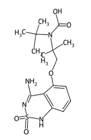 CC(C)(C)N(C(=O)O)C(C)(C)COc1cccc2c1C(N)=NS(=O)(=O)N2